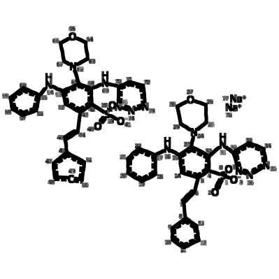 O=S(=O)([O-])c1c(C=Cc2ccccc2)cc(Nc2ccccc2)c(N2CCOCC2)c1Nc1ccnnn1.O=S(=O)([O-])c1c(C=Cc2ccccc2)cc(Nc2ccccc2)c(N2CCOCC2)c1Nc1ccnnn1.[Na+].[Na+]